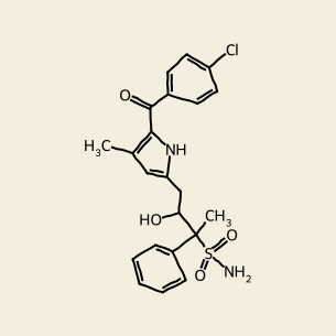 Cc1cc(CC(O)C(C)(c2ccccc2)S(N)(=O)=O)[nH]c1C(=O)c1ccc(Cl)cc1